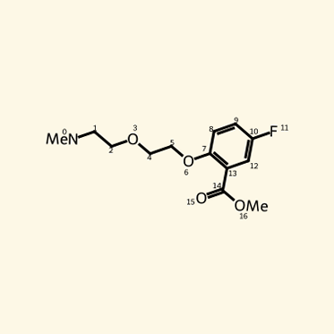 CNCCOCCOc1ccc(F)cc1C(=O)OC